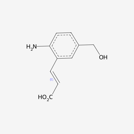 Nc1ccc(CO)cc1/C=C/C(=O)O